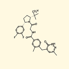 Cc1cc(Cc2ccc(C(=O)NCC(=O)N3[C@H](c4ccc(F)c(F)c4)CC[C@@H]3C(C)(C)C(=O)O)cc2C)c(=O)[nH]n1